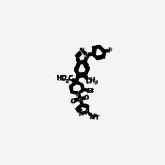 CCCn1cc(S(=O)(=O)N2CCC(C(=O)O)(c3cc4cnn(-c5ccc(F)cc5)c4cc3C)CC2CC)cn1